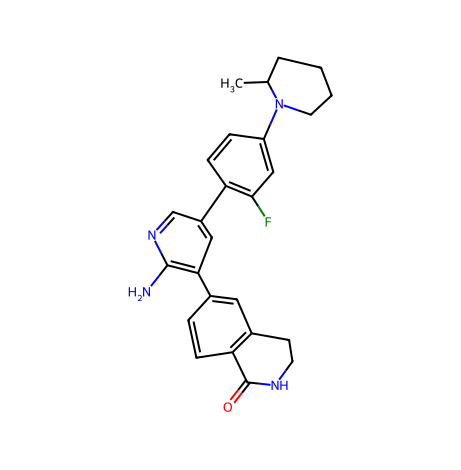 CC1CCCCN1c1ccc(-c2cnc(N)c(-c3ccc4c(c3)CCNC4=O)c2)c(F)c1